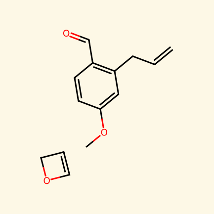 C1=COC1.C=CCc1cc(OC)ccc1C=O